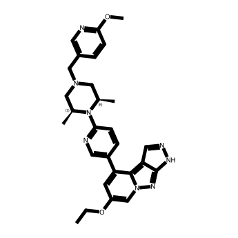 CCOc1cc(-c2ccc(N3[C@H](C)CN(Cc4ccc(OC)nc4)C[C@@H]3C)nc2)c2c3cn[nH]c3nn2c1